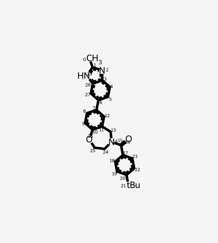 Cc1nc2ccc(-c3ccc4c(c3)CN(C(=O)c3ccc(C(C)(C)C)cc3)CCO4)cc2[nH]1